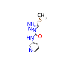 CS/C=C/N(N=N)C(=O)Nc1cccnc1